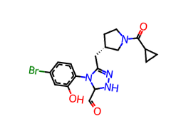 O=CC1NN=C(C[C@@H]2CCN(C(=O)C3CC3)C2)N1c1ccc(Br)cc1O